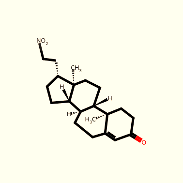 C[C@]12CC[C@H]3[C@@H](CCC4=CC(=O)CC[C@@]43C)[C@@H]1CC[C@@H]2CC[N+](=O)[O-]